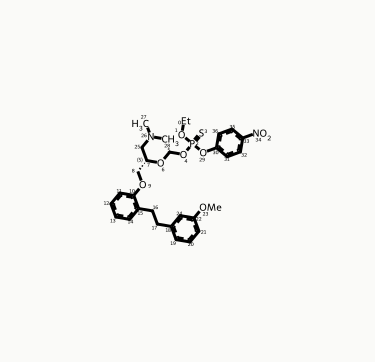 CCOP(=S)(OCO[C@H](COc1ccccc1CCc1cccc(OC)c1)CN(C)C)Oc1ccc([N+](=O)[O-])cc1